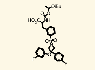 CC(C)COC(C)OC(=O)N[C@@H](Cc1cccc(S(=O)(=O)N2CC(Oc3cccc(F)c3)(c3ccc(F)cc3)C2)c1)C(=O)O